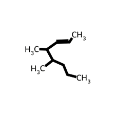 CC=CC(C)C(C)CCC